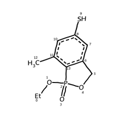 CCOP1(=O)OCc2cc(S)cc(C)c21